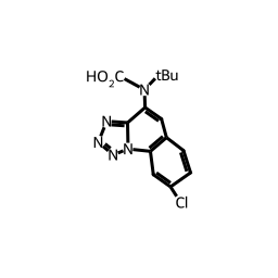 CC(C)(C)N(C(=O)O)c1cc2ccc(Cl)cc2n2nnnc12